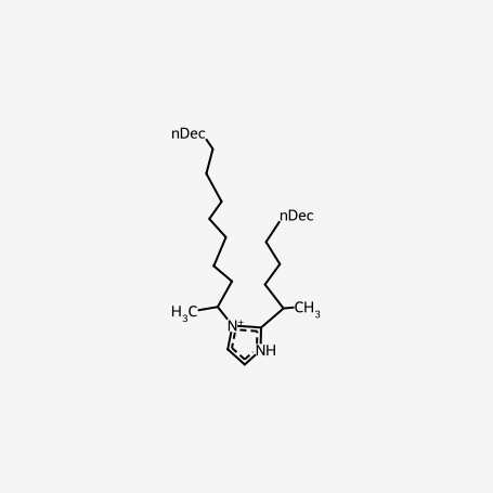 CCCCCCCCCCCCCCCCCC(C)[n+]1cc[nH]c1C(C)CCCCCCCCCCCCC